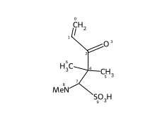 C=CC(=O)C(C)(C)C(NC)S(=O)(=O)O